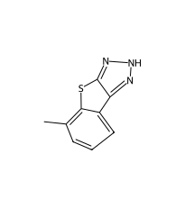 Cc1cccc2c1sc1n[nH]nc12